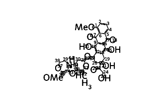 COc1cccc2c1C(=O)c1c(O)c3c(c(O)c1C2=O)C[C@@](O)(C(=O)CO)C[C@@H]3OC1C[C@H]2[C@H](OC3[C@@H](OC)OCCN32)[C@H](C)O1